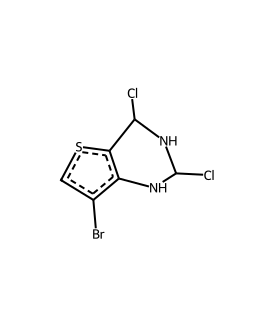 ClC1Nc2c(Br)csc2C(Cl)N1